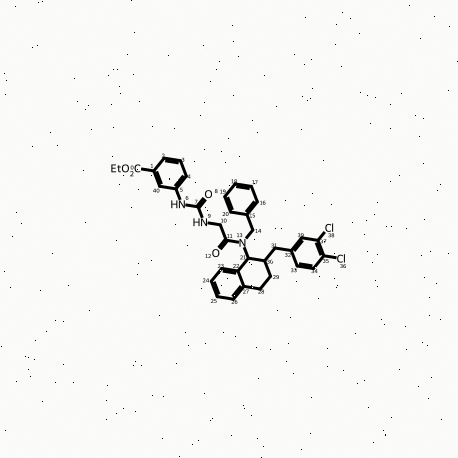 CCOC(=O)c1cccc(NC(=O)NCC(=O)N(Cc2ccccc2)C2c3ccccc3CCC2Cc2ccc(Cl)c(Cl)c2)c1